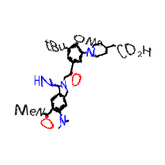 CNC(=O)c1cc2c(cc1N(C)C)CN(CC(=O)c1cc(N3CCC(CC(=O)O)CC3)c(OC)c(C(C)(C)C)c1)C2=N